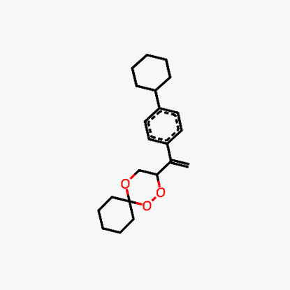 C=C(c1ccc(C2CCCCC2)cc1)C1COC2(CCCCC2)OO1